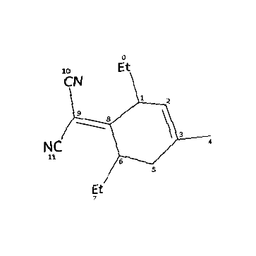 CCC1C=C(C)CC(CC)C1=C(C#N)C#N